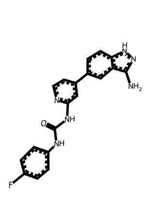 Nc1n[nH]c2ccc(-c3ccnc(NC(=O)Nc4ccc(F)cc4)c3)cc12